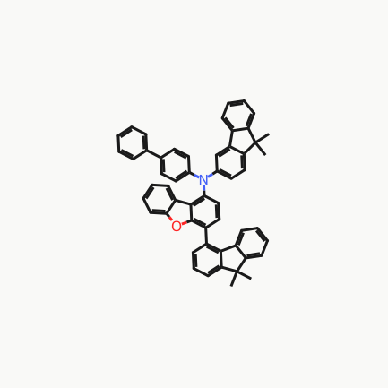 CC1(C)c2ccccc2-c2cc(N(c3ccc(-c4ccccc4)cc3)c3ccc(-c4cccc5c4-c4ccccc4C5(C)C)c4oc5ccccc5c34)ccc21